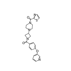 O=C(c1ccc(Oc2cccnc2)cc1)N1CC(N2CCN(C(=O)c3nccs3)CC2)C1